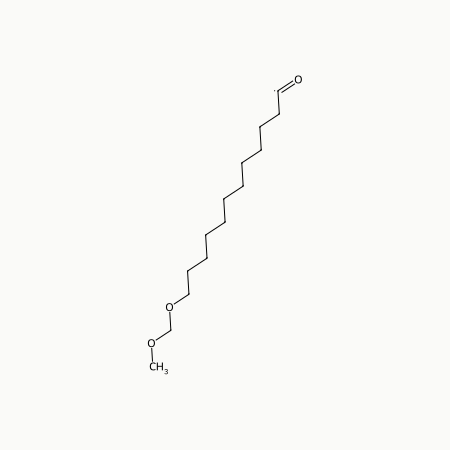 COCOCCCCCCCCCCC[C]=O